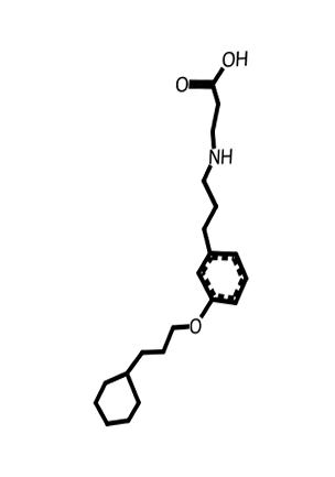 O=C(O)CCNCCCc1cccc(OCCCC2CCCCC2)c1